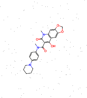 CN(C(=O)c1c(O)c2cc3c(cc2n(C)c1=O)OCO3)c1ccc(N2CCCCC2)cc1